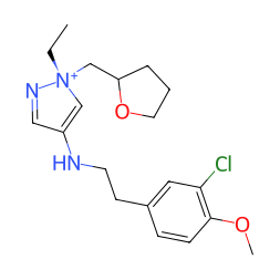 CC[N@@+]1(CC2CCCO2)C=C(NCCc2ccc(OC)c(Cl)c2)C=N1